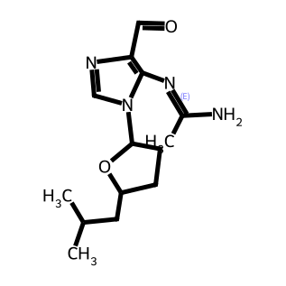 C/C(N)=N\c1c(C=O)ncn1C1CCC(CC(C)C)O1